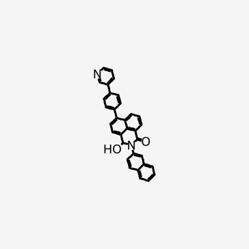 O=C1c2cccc3c(-c4ccc(-c5cccnc5)cc4)ccc(c23)C(O)N1c1ccc2ccccc2c1